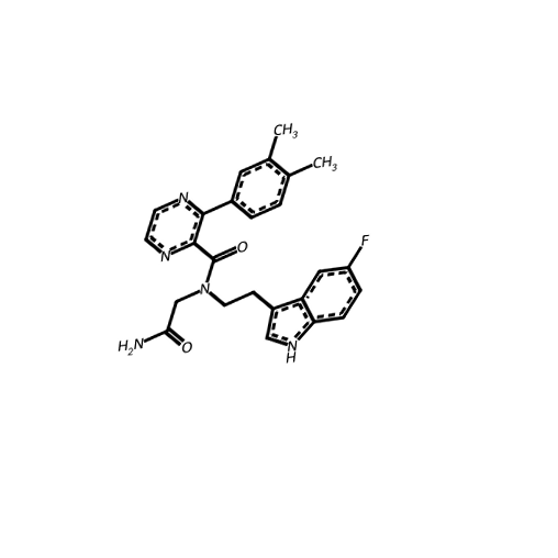 Cc1ccc(-c2nccnc2C(=O)N(CCc2c[nH]c3ccc(F)cc23)CC(N)=O)cc1C